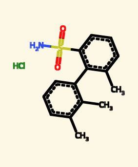 Cc1cccc(-c2c(C)cccc2S(N)(=O)=O)c1C.Cl